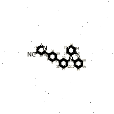 N#Cc1ccnc(-c2ccc(-c3cccc(N4c5ccccc5Sc5ccccc54)c3)cc2)c1